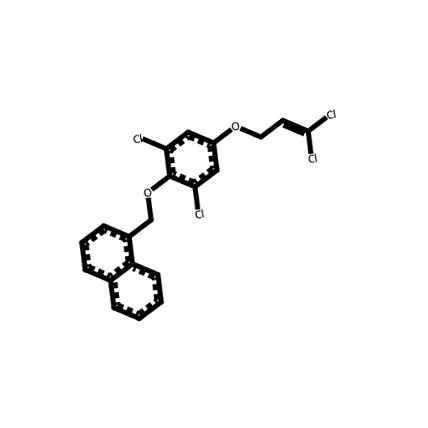 ClC(Cl)=CCOc1cc(Cl)c(OCc2cccc3ccccc23)c(Cl)c1